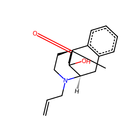 C=CCN1CC[C@]23CC(=O)CCC2(O)[C@H]1Cc1ccccc13